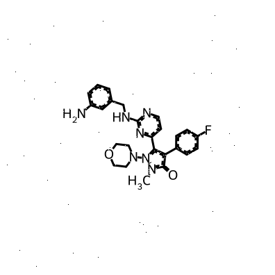 Cn1c(=O)c(-c2ccc(F)cc2)c(-c2ccnc(NCc3cccc(N)c3)n2)n1N1CCOCC1